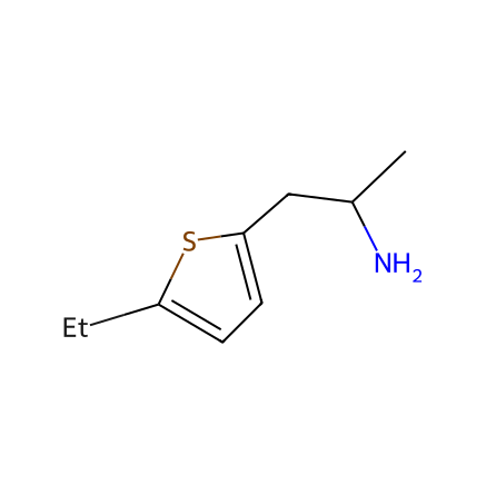 CCc1ccc(CC(C)N)s1